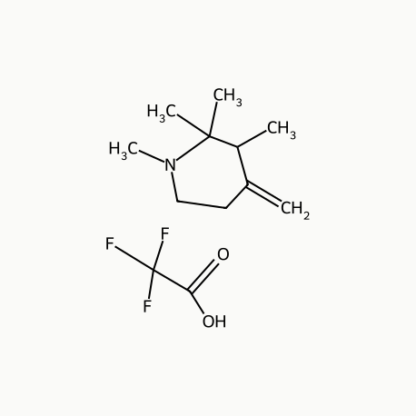 C=C1CCN(C)C(C)(C)C1C.O=C(O)C(F)(F)F